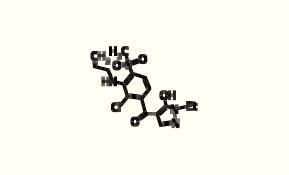 C=CCNc1c(S(C)(=O)=O)ccc(C(=O)c2cnn(CC)c2O)c1Cl